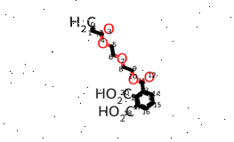 C=CC(=O)OCCOCCOC(=O)c1cccc(C(=O)O)c1C(=O)O